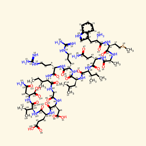 CC[C@H](C)[C@H](NC(=O)[C@H](CCCNC(=N)N)NC(=O)[C@H](CCCNC(=N)N)NC(=O)[C@H](CC(C)C)NC(=O)[C@@H](NC(=O)[C@H](CCC(N)=O)NC(=O)[C@H](C)NC(=O)[C@H](CCSC)NC(=O)[C@@H](N)Cc1c[nH]c2ccccc12)[C@@H](C)CC)C(=O)NCC(=O)N[C@@H](CC(=O)O)C(=O)N[C@@H](CCC(=O)O)C(=O)N[C@H](C(=O)N[C@@H](CC(N)=O)C(=O)O)C(C)C